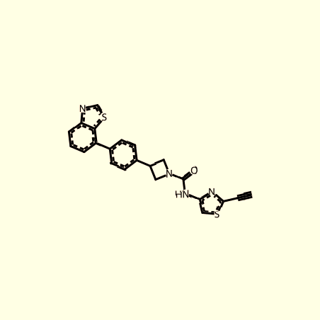 C#Cc1nc(NC(=O)N2CC(c3ccc(-c4cccc5ncsc45)cc3)C2)cs1